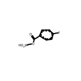 O=C(OS(=O)(=O)O)c1ccc(F)cc1